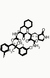 CC(C)(c1cccc(Cl)c1)[C@@H](OC(=O)N[C@@H](CC1CCCCC1)C(=O)N[C@@H](C[C@@H]1CCNC1=O)C(=O)C(N)=O)c1cccc(F)c1